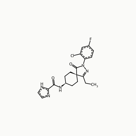 CCC1=NN(c2ccc(F)cc2Cl)C(=O)[C@]12CC[C@H](NC(=O)c1ncc[nH]1)CC2